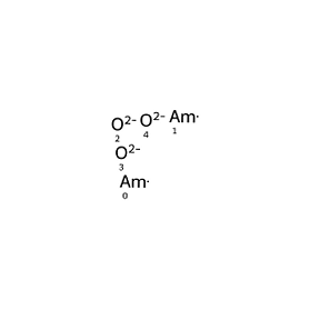 [Am].[Am].[O-2].[O-2].[O-2]